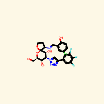 OC[C@H]1O[C@]2(OCC[C@H]2NCc2cc(Cl)ccc2O)[C@H](O)[C@@H](n2cc(-c3cc(F)c(F)c(F)c3)nn2)[C@H]1O